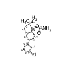 CC1(C)CCc2cc(-c3cccc(Cl)c3)ccc2C1OC(N)=O